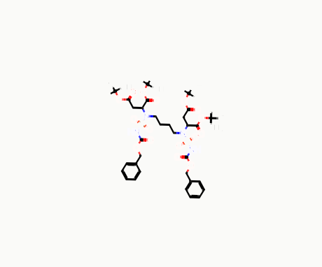 CC(C)(C)OC(=O)CC(C(=O)OC(C)(C)C)N(CCCCN(C(CC(=O)OC(C)(C)C)C(=O)OC(C)(C)C)S(=O)(=O)NC(=O)OCc1ccccc1)S(=O)(=O)NC(=O)OCc1ccccc1